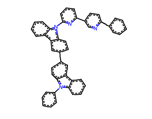 c1ccc(-c2ccc(-c3cccc(-n4c5ccccc5c5cc(-c6ccc7c(c6)c6ccccc6n7-c6ccccc6)ccc54)n3)cn2)cc1